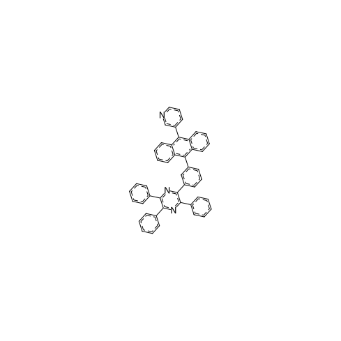 c1ccc(-c2nc(-c3ccccc3)c(-c3cccc(-c4c5ccccc5c(-c5cccnc5)c5ccccc45)c3)nc2-c2ccccc2)cc1